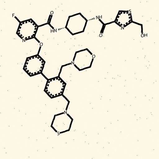 O=C(N[C@H]1CC[C@@H](NC(=O)c2cc(F)cnc2Oc2cccc(-c3ccc(CN4CCSCC4)cc3CN3CCOCC3)c2)CC1)c1csc(CO)n1